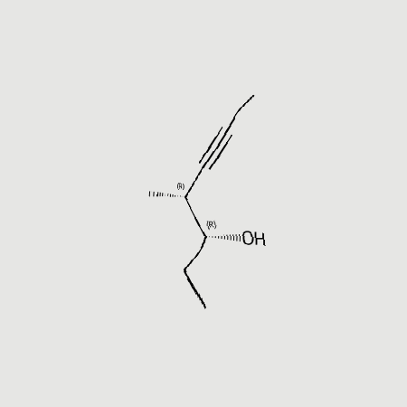 CC#C[C@@H](C)[C@H](O)CC